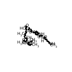 CNCCCCCC(=O)NCC(=O)Nc1ccc(CNC(=O)C[C@@H]2C[C@@]3(CO3)[C@H](O)[C@@H](/C=C/C(C)=C/C[C@@H]3O[C@H](C)[C@H](NC(=O)/C=C\[C@H](C)OC(C)=O)C[C@@H]3C)O2)cc1